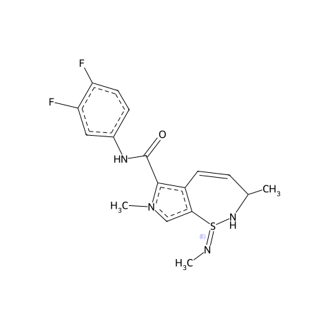 C/N=S1/NC(C)C=Cc2c1cn(C)c2C(=O)Nc1ccc(F)c(F)c1